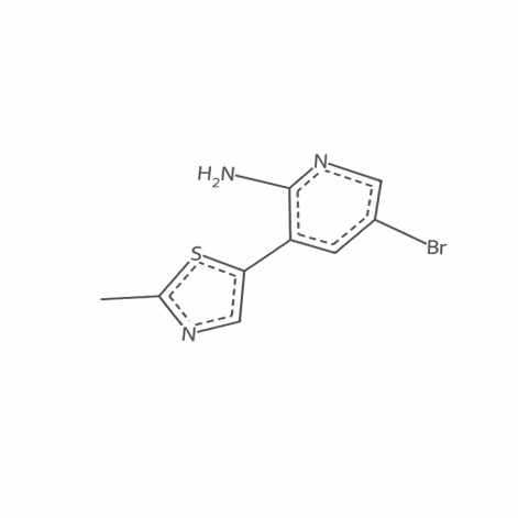 Cc1ncc(-c2cc(Br)cnc2N)s1